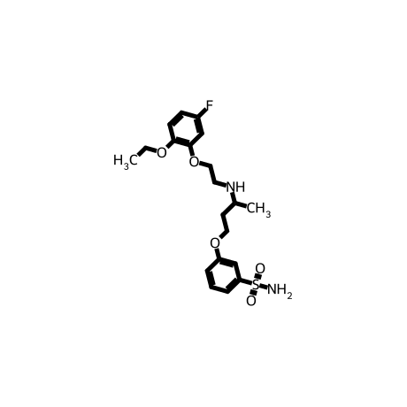 CCOc1ccc(F)cc1OCCNC(C)CCOc1cccc(S(N)(=O)=O)c1